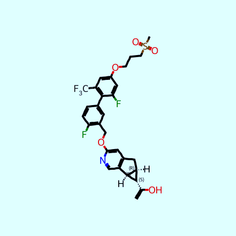 C=C(O)[C@H]1[C@@H]2Cc3cc(OCc4cc(-c5c(F)cc(OCCCS(C)(=O)=O)cc5C(F)(F)F)ccc4F)ncc3[C@@H]21